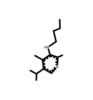 CCCCNc1c(C)ncc(C(C)C)c1C